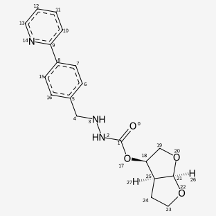 O=C(NNCc1ccc(-c2ccccn2)cc1)O[C@H]1CO[C@H]2OCC[C@H]21